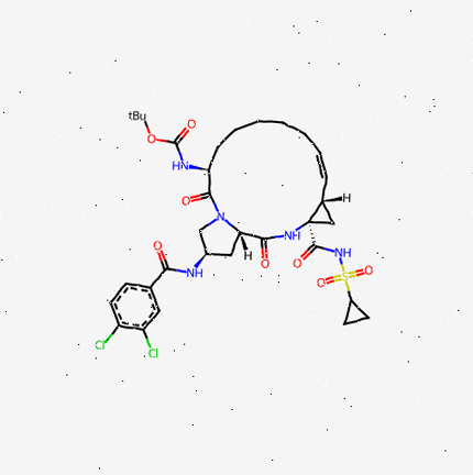 CC(C)(C)OC(=O)N[C@H]1CCCCC/C=C\[C@@H]2C[C@@]2(C(=O)NS(=O)(=O)C2CC2)NC(=O)[C@@H]2C[C@@H](NC(=O)c3ccc(Cl)c(Cl)c3)CN2C1=O